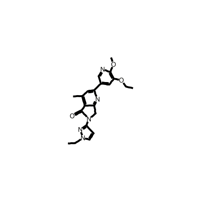 CCOc1cc(-c2cc(C)c3c(n2)CN(c2ccn(CC)n2)C3=O)cnc1OC